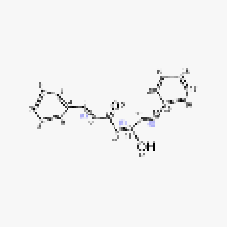 O=C(/C=C/c1ccccc1)/C=C(O)\C=C\c1ccccc1